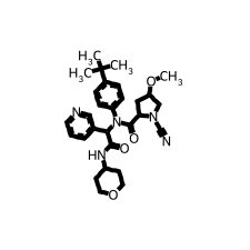 COC1CC(C(=O)N(c2ccc(C(C)(C)C)cc2)C(C(=O)NC2CCOCC2)c2cccnc2)N(C#N)C1